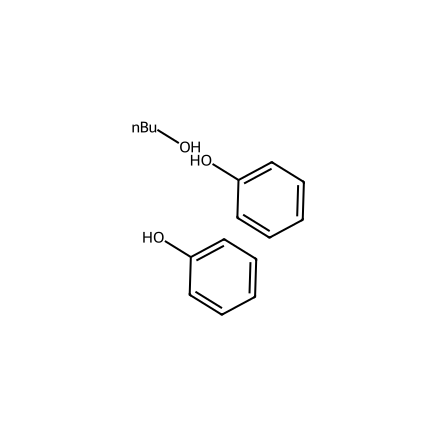 CCCCO.Oc1ccccc1.Oc1ccccc1